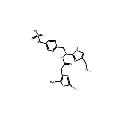 CCc1c[nH]c([C@H](Cc2ccc(NS(=O)(=O)O)cc2)NC(=O)Cc2nc(C)sc2C)n1